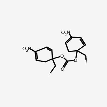 O=C(OC1(CI)C=CC([N+](=O)[O-])=CC1)OC1(CI)C=CC([N+](=O)[O-])=CC1